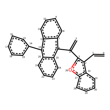 C=Cc1c(C(=C)c2c3ccccc3c(-c3ccccc3)c3ccccc23)oc2ccccc12